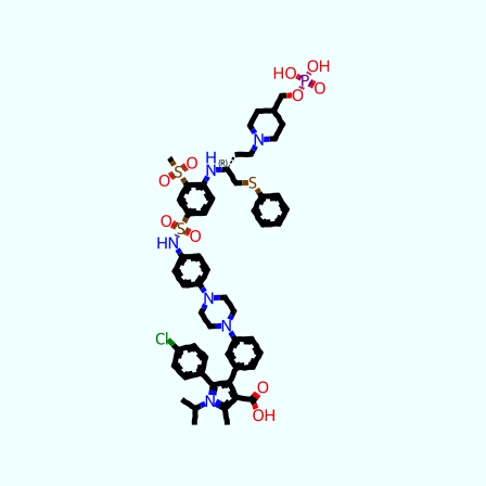 Cc1c(C(=O)O)c(-c2cccc(N3CCN(c4ccc(NS(=O)(=O)c5ccc(N[C@H](CCN6CCC(COP(=O)(O)O)CC6)CSc6ccccc6)c(S(C)(=O)=O)c5)cc4)CC3)c2)c(-c2ccc(Cl)cc2)n1C(C)C